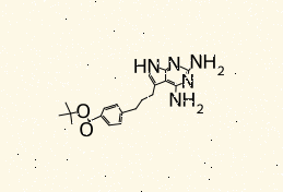 CC(C)(C)OC(=O)c1ccc(CCCc2c[nH]c3nc(N)nc(N)c23)cc1